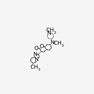 Cc1ccc2nc(-c3cc4ccc(N(C)C5CCN(C)CC5)cc4oc3=O)cn2c1